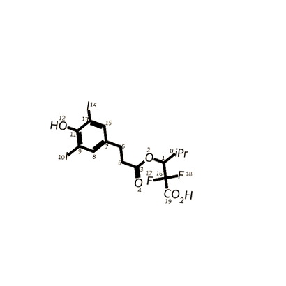 CC(C)C(OC(=O)CCc1cc(I)c(O)c(I)c1)C(F)(F)C(=O)O